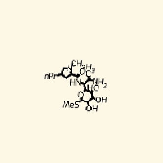 CCCC1CC(C(=O)NC(C(C)N)C2OC(SC)C(O)C(O)C2O)N(C)C1